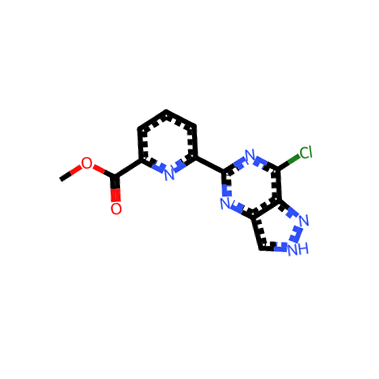 COC(=O)c1cccc(-c2nc(Cl)c3n[nH]cc3n2)n1